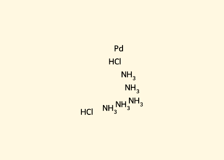 Cl.Cl.N.N.N.N.N.[Pd]